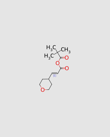 CC(C)(C)C(=O)OC(=O)/C=C/C1CCOCC1